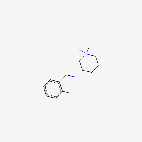 CC(C)(C)[N+]1(C(=O)[O-])CCC[C@H](NCc2ccccc2C(F)(F)F)C1